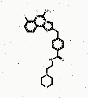 Nc1nc2c(F)cccc2c2nc(Cc3ccc(C(=O)NCCN4CCOCC4)cc3)cn12